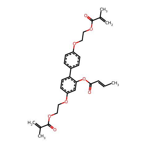 C=C(C)C(=O)OCCOc1ccc(-c2ccc(OCCOC(=O)C(=C)C)cc2OC(=O)/C=C/C)cc1